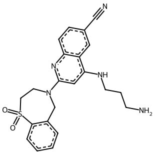 N#Cc1ccc2nc(N3CCS(=O)(=O)c4ccccc4C3)cc(NCCCN)c2c1